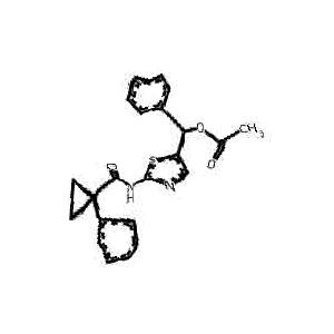 CC(=O)OC(c1ccccc1)c1cnc(NC(=O)C2(c3ccccc3)CC2)s1